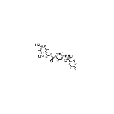 Cc1ccc(S(=O)(=O)Nc2ccc(C(=O)/C=C/c3ccc(O)cc3Cl)cc2)cc1